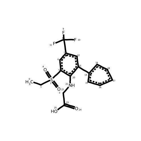 CCS(=O)(=O)c1cc(C(F)(F)F)cc(-c2ccccc2)c1NCC(=O)O